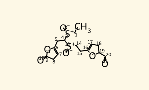 CC[S+]([O-])C(CC1=CCC(=O)O1)[S+]([O-])CCC1=CCC(C=O)O1